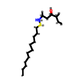 CCCCCCCCCCCCSNC(C)CC(=O)C(C)CC